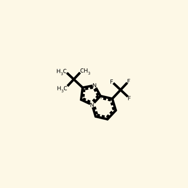 CC(C)(C)c1cn2cccc(C(F)(F)F)c2n1